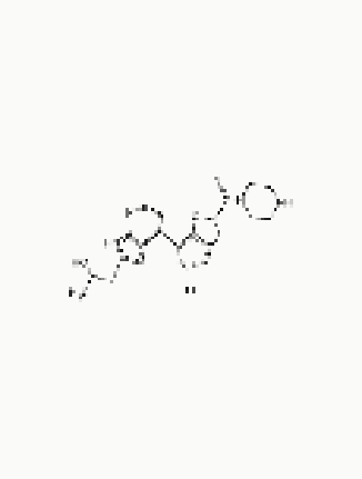 CC(O)Cc1cc2c(-c3cc(Cl)cc4c3OC(C(=O)N3CCNCC3)C4)ccnc2[nH]1